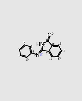 O=C1N/C(=N\c2ccccc2)c2ccccc21